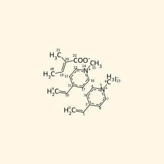 C=Cc1cc[n+](C)cc1.C=Cc1cc[n+](C)cc1.CC=C(C)C(=O)[O-].[I-]